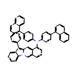 c1ccc(-c2c3ccccc3n3cc4cccc(N(c5ccc(-c6cccc7ccccc67)cc5)c5ccc(-c6cccc7ccccc67)cc5)c4cc23)cc1